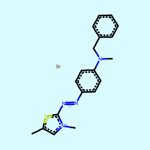 Cc1c[n+](C)c(/N=N/c2ccc(N(C)Cc3ccccc3)cc2)s1.[Br-]